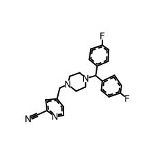 N#Cc1cc(CN2CCN(C(c3ccc(F)cc3)c3ccc(F)cc3)CC2)ccn1